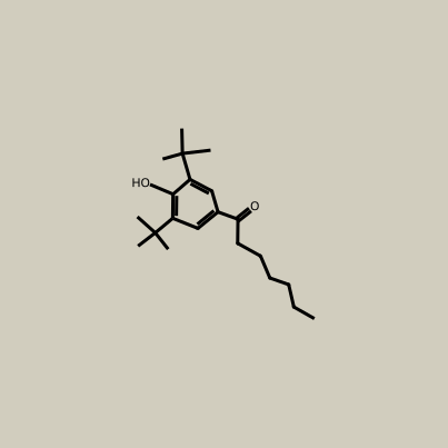 CCCCCCC(=O)c1cc(C(C)(C)C)c(O)c(C(C)(C)C)c1